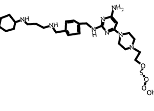 Nc1cc(N2CCN(CCOSOOO)CC2)nc(NCc2ccc(CNCCCNC3CCCCC3)cc2)n1